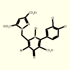 CCOC(=O)c1cc(C(=O)OCC)n(Cc2c(Br)c(=O)c(C(=O)O)c(-c3ccc(Cl)c(Cl)c3)n2CC)n1